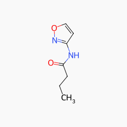 CCCC(=O)Nc1ccon1